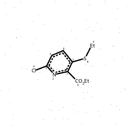 CCOC(=O)c1nc(Cl)ccc1SCC